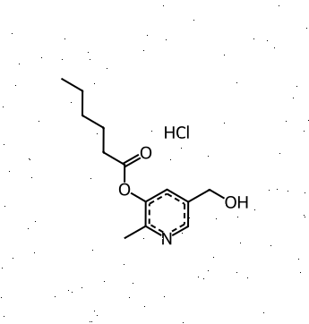 CCCCCC(=O)Oc1cc(CO)cnc1C.Cl